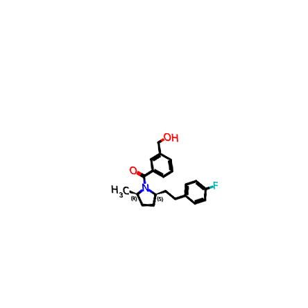 C[C@@H]1CC[C@H](CCc2ccc(F)cc2)N1C(=O)c1cccc(CO)c1